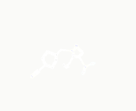 Cc1c([N+](=O)[O-])cnn1Cc1ccc(C#N)cc1